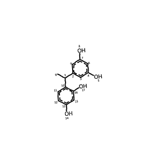 CC(c1cc(O)cc(O)c1)c1ccc(O)cc1O